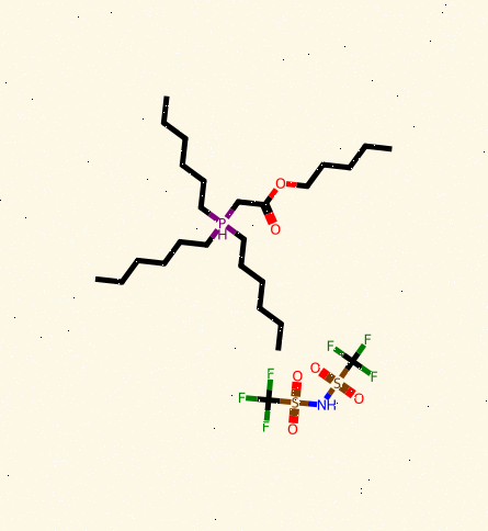 CCCCCC[PH](CCCCCC)(CCCCCC)CC(=O)OCCCCC.O=S(=O)(NS(=O)(=O)C(F)(F)F)C(F)(F)F